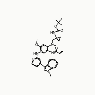 C=CC(=O)Nc1cc(Nc2nccc(-c3cn(C)c4ccccc34)n2)c(OC)cc1N(C)CC1(NC(=O)OC(C)(C)C)CC1